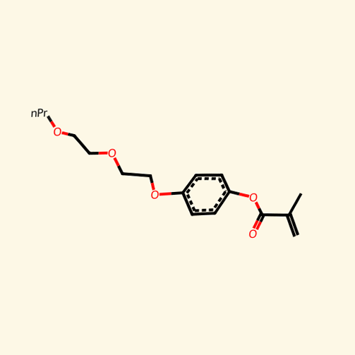 C=C(C)C(=O)Oc1ccc(OCCOCCOCCC)cc1